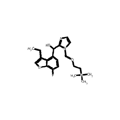 CCc1coc2c(F)ccc(C(O)c3nccn3COCC[Si](C)(C)C)c12